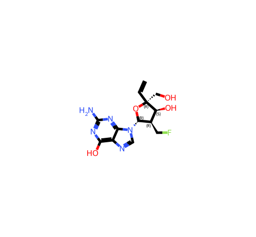 C=C[C@]1(CO)O[C@@H](n2cnc3c(O)nc(N)nc32)[C@H](CF)[C@@H]1O